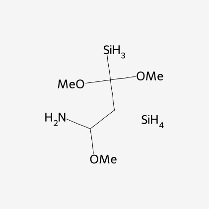 COC(N)CC([SiH3])(OC)OC.[SiH4]